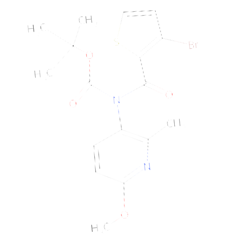 COc1ccc(N(C(=O)OC(C)(C)C)C(=O)c2sccc2Br)c(C)n1